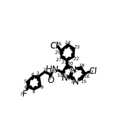 O=C(Cc1ccc(F)cc1)Nc1nc2ncc(Cl)cn2c1-c1cccc(Cl)c1